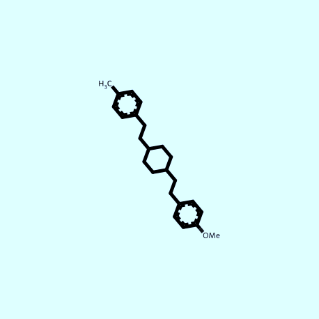 COc1ccc(CCC2CCC(CCc3ccc(C)cc3)CC2)cc1